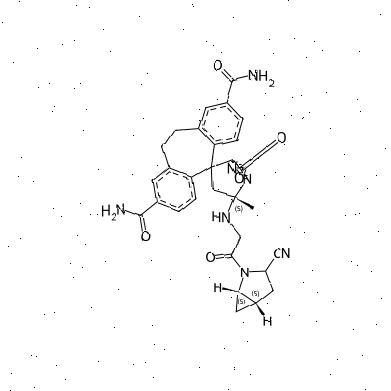 C[C@@]1(NCC(=O)N2C(C#N)C[C@@H]3C[C@@H]32)CC2(c3ccc(C(N)=O)cc3CCc3cc(C(N)=O)ccc32)c2nc(=O)on21